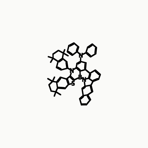 CC1(C)CCC(C)(C)c2cc(N3c4cc(N(c5ccccc5)c5ccccc5)cc5c4B(c4sc6cc7c(cc6c43)C(C)(C)CCC7(C)C)n3c4cc6ccccc6cc4c4cccc-5c43)ccc21